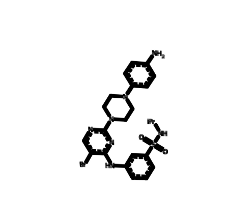 CC(C)NS(=O)(=O)c1cccc(Nc2nc(N3CCN(c4ccc(N)cc4)CC3)ncc2Br)c1